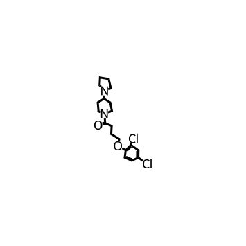 O=C(CCCOc1ccc(Cl)cc1Cl)N1CCC(N2CCCC2)CC1